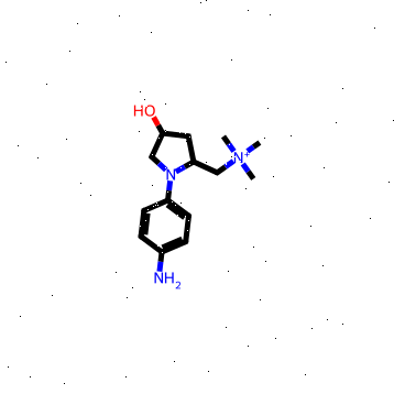 C[N+](C)(C)CC1CC(O)CN1c1ccc(N)cc1